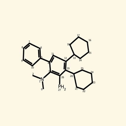 CN(C)c1c(-c2ccccc2)cc(C2CCCCC2)c(C2CCCCC2)c1P